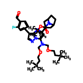 CC(C)(C)OC(=O)N1C2CCC1CC(c1cc(N(COCC[Si](C)(C)C)COCC[Si](C)(C)C)n3ncc(-c4ccc(C=O)c(F)c4)c3n1)C2